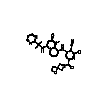 Cn1c(=O)cc(NC(C)(C)c2ncccn2)c2cccc(Nc3cc(C(=O)N4CC5(CCO5)C4)nc(Cl)c3C#N)c21